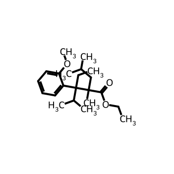 CCOC(=O)C(C)(CC(C)C)C(CC)(c1ccccc1OC)C(C)C